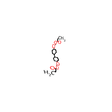 C=CC(=O)OCOC1CCC(C2CCC(OCOC(=O)C=C)CC2)CC1